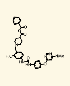 CNc1cc(Oc2ccc(NC(=O)Nc3ccc(CN4CCN(C(=O)OC(=O)c5ccccc5)CC4)c(C(F)(F)F)c3)cc2)ncn1